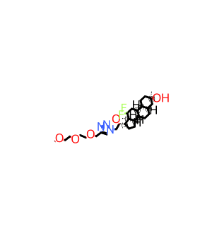 COCCOCCOCc1cn(CC(=O)[C@H]2CC[C@H]3[C@@H]4CC[C@@H]5C[C@](C)(O)CC[C@@H]5[C@H]4CC(F)(F)[C@]23C)nn1